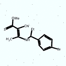 CCC(NC(C)=C(C#N)C(=S)OC)c1ccc(Br)cc1